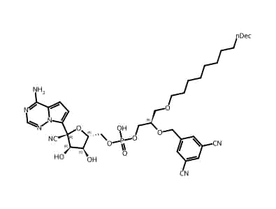 CCCCCCCCCCCCCCCCCCOC[C@H](COP(=O)(O)OC[C@H]1O[C@@](C#N)(c2ccc3c(N)ncnn23)[C@H](O)[C@@H]1O)OCc1cc(C#N)cc(C#N)c1